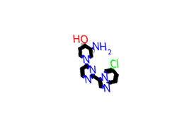 N[C@H]1CN(c2ccnc(-c3cnc4ccc(Cl)cn34)n2)CC[C@H]1O